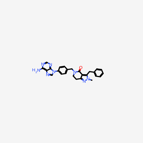 Cn1nc2c(c1Cc1ccccc1)C(=O)N(Cc1ccc(-n3cnc4c(N)ncnc43)cc1)CC2